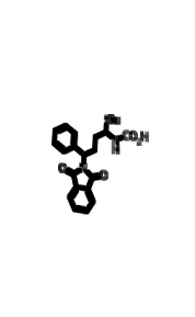 CC(C)(C)C(CCC(c1ccccc1)N1C(=O)c2ccccc2C1=O)NC(=O)O